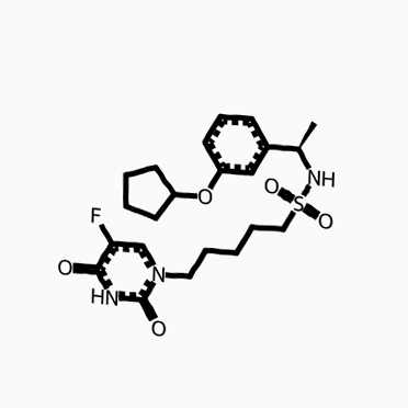 C[C@@H](NS(=O)(=O)CCCCCn1cc(F)c(=O)[nH]c1=O)c1cccc(OC2CCCC2)c1